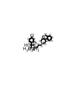 CC(C)C(O)(C(=O)N(C)CCCN1CCC2(CC1)OCc1ccccc12)c1ccc(Cl)cc1